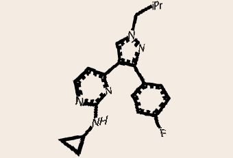 CC(C)Cn1cc(-c2ccnc(NC3CC3)n2)c(-c2ccc(F)cc2)n1